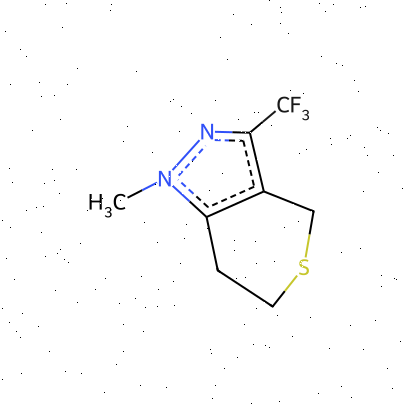 Cn1nc(C(F)(F)F)c2c1CCSC2